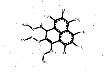 Cc1c(C)c2c3c(c(C)c(C)c(C)c3c1C)C([SiH2]O[SiH3])C([SiH2]O[SiH3])=C2[SiH2]O[SiH3]